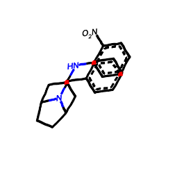 O=[N+]([O-])c1ccccc1NC1CC2CCC(C1)N2Cc1ccccc1